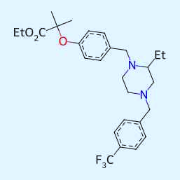 CCOC(=O)C(C)(C)Oc1ccc(CN2CCN(Cc3ccc(C(F)(F)F)cc3)CC2CC)cc1